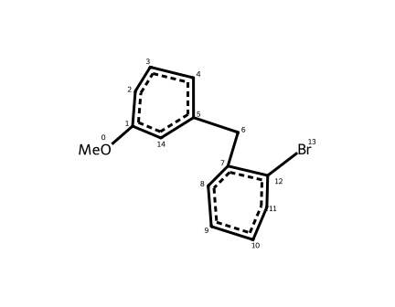 COc1cccc(Cc2ccc[c]c2Br)c1